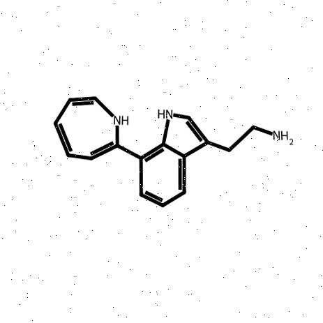 NCCc1c[nH]c2c(C3=CC=CC=CN3)cccc12